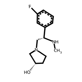 CN[C@H](CN1CC[C@H](O)C1)c1cccc(F)c1